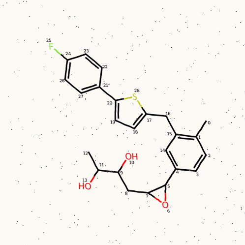 Cc1ccc(C2OC2CC(O)C(C)O)cc1Cc1ccc(-c2ccc(F)cc2)s1